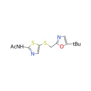 CC(=O)Nc1ncc(SCc2ncc(C(C)(C)C)o2)s1